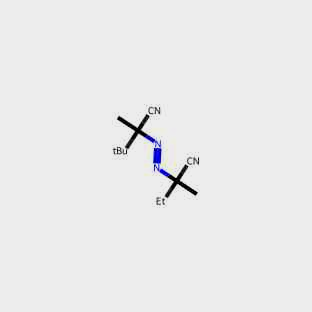 CCC(C)(C#N)N=NC(C)(C#N)C(C)(C)C